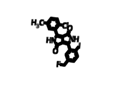 Cc1ccc(Cl)c(C2=C3C(=O)NC(c4cc(CF)ccc4I)=C3C(=O)N2)c1